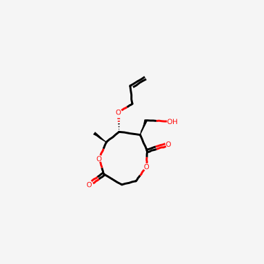 C=CCO[C@H]1[C@H](C)OC(=O)CCOC(=O)[C@@H]1CO